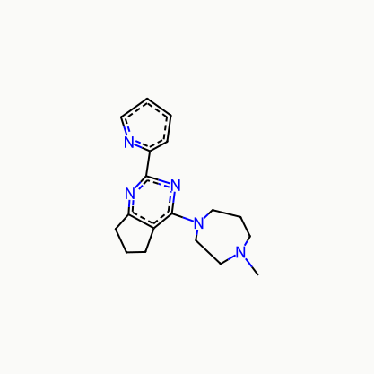 CN1CCCN(c2nc(-c3ccccn3)nc3c2CCC3)CC1